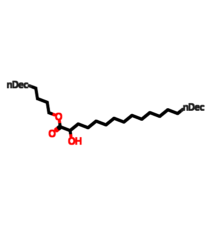 CCCCCCCCCCCCCCCCCCCCCCC(O)C(=O)OCCCCCCCCCCCCCC